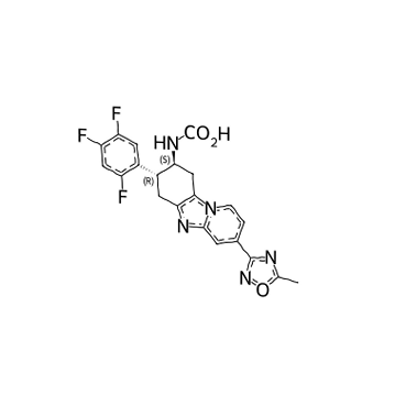 Cc1nc(-c2ccn3c4c(nc3c2)C[C@H](c2cc(F)c(F)cc2F)[C@@H](NC(=O)O)C4)no1